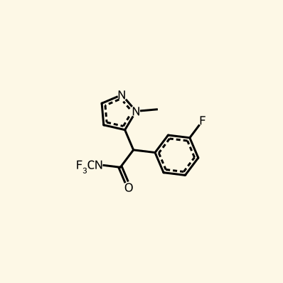 Cn1nccc1C(C(=O)NC(F)(F)F)c1cccc(F)c1